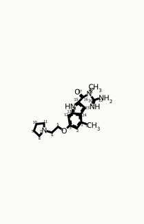 Cc1cc(OCCN2CCCC2)cc2[nH]c(C(=O)N(C)C(=N)N)cc12